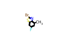 Cc1cc(F)cc2sc(Br)nc12